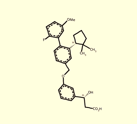 COc1ccc(F)c(-c2ccc(COc3cccc([C@H](O)CC(=O)O)c3)cc2[C@@H]2CCCC2(C)C)c1